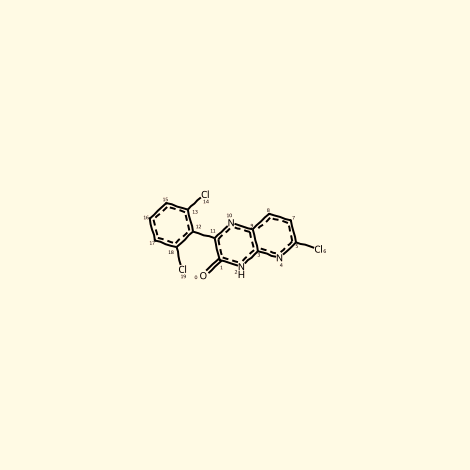 O=c1[nH]c2nc(Cl)ccc2nc1-c1c(Cl)cccc1Cl